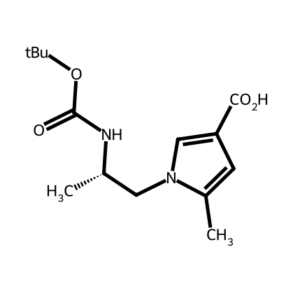 Cc1cc(C(=O)O)cn1C[C@H](C)NC(=O)OC(C)(C)C